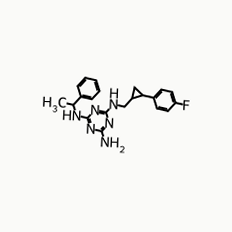 CC(Nc1nc(N)nc(NCC2CC2c2ccc(F)cc2)n1)c1ccccc1